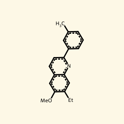 CCc1cc2nc(-c3cccc(C)c3)ccc2cc1OC